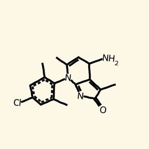 CC1=CC(N)C2=C(C)C(=O)N=C2N1c1c(C)cc(Cl)cc1C